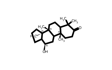 CC1(C)C(=O)CC[C@@]2(C)C1CC[C@]1(C)C2C[C@@H](O)C2CCC[C@]21C